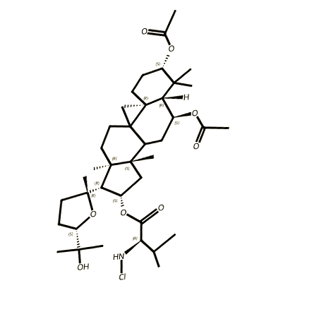 CC(=O)O[C@H]1CC2C3(CC[C@]4(C)[C@@H]([C@@]5(C)CC[C@@H](C(C)(C)O)O5)[C@@H](OC(=O)[C@H](NCl)C(C)C)C[C@@]24C)C[C@@]32CC[C@H](OC(C)=O)C(C)(C)[C@H]12